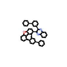 c1ccc(-c2cccc(-c3nc4ccccc4nc3-c3ccc4oc5cccc6c7ccc(-c8ccccc8)cc7c3c4c56)c2)cc1